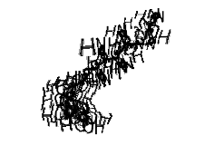 N[C@@H](Cc1c[nH]cn1)C(=O)CCC(=O)[C@H](Cc1c[nH]cn1)NCC(=O)[C@H](Cc1c[nH]cn1)NCC(=O)[C@H](Cc1c[nH]cn1)NCC(=O)[C@H](Cc1c[nH]cn1)NCC(=O)[C@H](Cc1c[nH]cn1)NC(=O)c1ccc2[nH]c(C(O)[C@@H](O)[C@H](O[C@H]3OC(CO)[C@@H](O[C@H]4OC(CO)[C@@H](O[C@H]5OC(CO)[C@@H](O)C(O)[C@@H]5O)C(O)[C@@H]4O)C(O)[C@@H]3O)C(O)CO)nc2c1